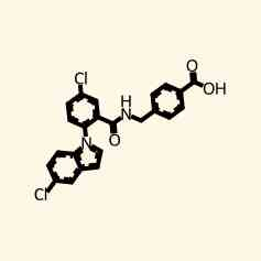 O=C(O)c1ccc(CNC(=O)c2cc(Cl)ccc2-n2ccc3cc(Cl)ccc32)cc1